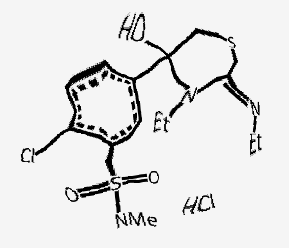 CCN=C1SCC(O)(c2ccc(Cl)c(S(=O)(=O)NC)c2)N1CC.Cl